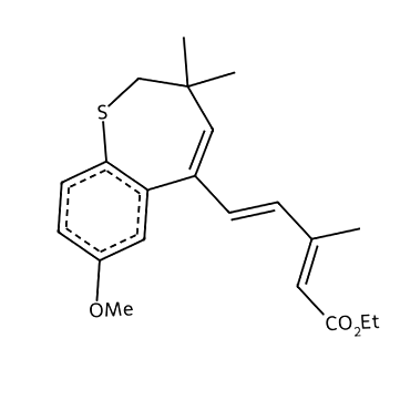 CCOC(=O)C=C(C)C=CC1=CC(C)(C)CSc2ccc(OC)cc21